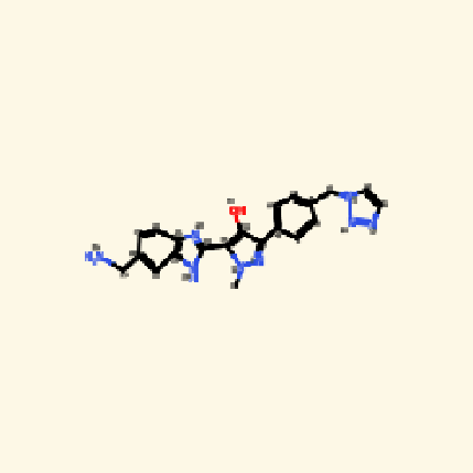 Cn1nc(-c2ccc(Cn3ccnn3)cc2)c(O)c1-c1nc2ccc(CN)cc2[nH]1